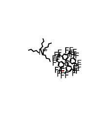 CCCCC[N+](CCCCC)(CCCCC)CCCCC.FC(F)(F)c1cc([B-](c2cc(C(F)(F)F)cc(C(F)(F)F)c2)(c2cc(C(F)(F)F)cc(C(F)(F)F)c2)c2cc(C(F)(F)F)cc(C(F)(F)F)c2)cc(C(F)(F)F)c1